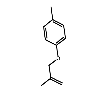 C=C(C)COc1ccc(C)cc1